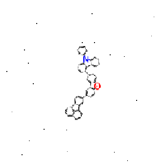 c1ccc(-n2c3ccccc3c3c(-c4ccc5oc6ccc(-c7ccc8c(c7)-c7cccc9cccc-8c79)cc6c5c4)cccc32)cc1